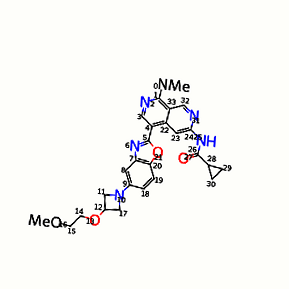 CNc1ncc(-c2nc3cc(N4CC(OCCOC)C4)ccc3o2)c2cc(NC(=O)C3CC3)ncc12